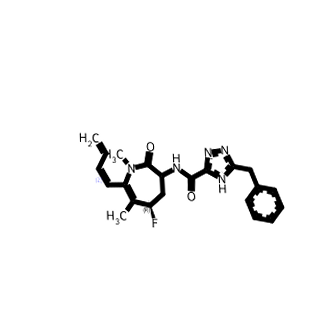 C=C/C=C\C1=C(C)[C@H](F)CC(NC(=O)c2nnc(Cc3ccccc3)[nH]2)C(=O)N1C